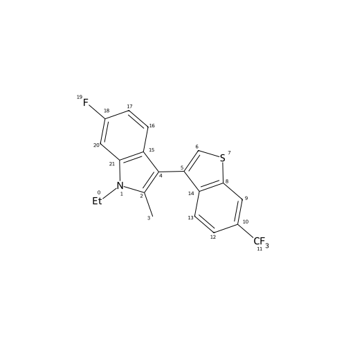 CCn1c(C)c(-c2csc3cc(C(F)(F)F)ccc23)c2ccc(F)cc21